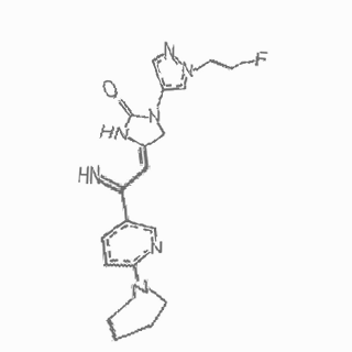 N=C(/C=C1/CN(c2cnn(CCF)c2)C(=O)N1)c1ccc(N2CCCC2)nc1